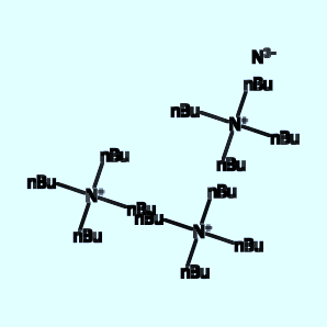 CCCC[N+](CCCC)(CCCC)CCCC.CCCC[N+](CCCC)(CCCC)CCCC.CCCC[N+](CCCC)(CCCC)CCCC.[N-3]